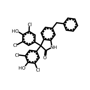 O=C1Nc2cc(Cc3ccccc3)ccc2C1(c1cc(Cl)c(O)c(Cl)c1)c1cc(Cl)c(O)c(Cl)c1